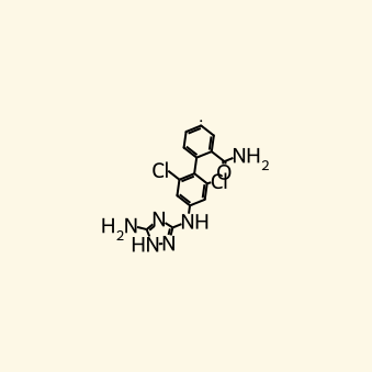 NC(=O)c1c[c]ccc1-c1c(Cl)cc(Nc2n[nH]c(N)n2)cc1Cl